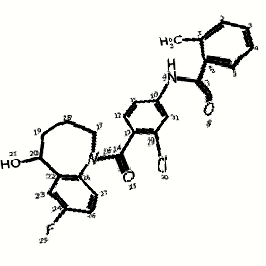 Cc1ccccc1C(=O)Nc1ccc(C(=O)N2CCCC(O)c3cc(F)ccc32)c(Cl)c1